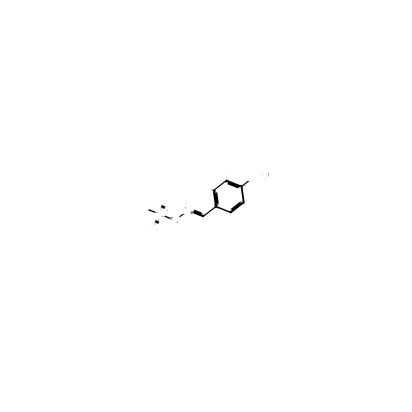 COc1ccc(C=NNS(=O)(=O)C(C)C)cc1